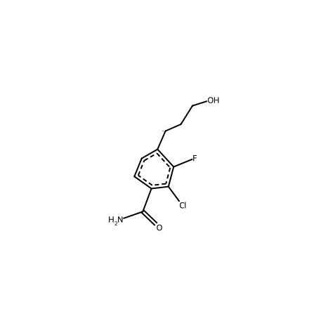 NC(=O)c1ccc([CH]CCO)c(F)c1Cl